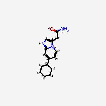 NC(=O)Cc1cnc2cc(C3CCCCC3)ccn12